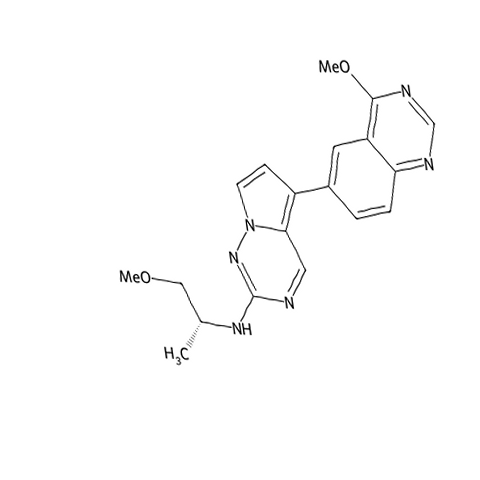 COC[C@@H](C)Nc1ncc2c(-c3ccc4ncnc(OC)c4c3)ccn2n1